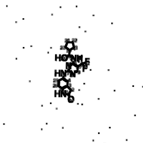 O=C1Cc2cc(Nc3ncc(C(F)(F)F)c(NC(O)C4CCCC4)n3)ccc2N1